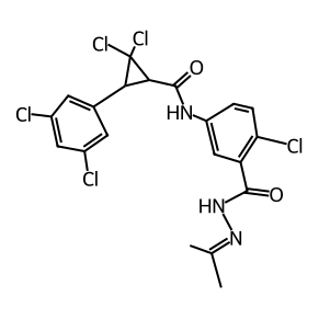 CC(C)=NNC(=O)c1cc(NC(=O)C2C(c3cc(Cl)cc(Cl)c3)C2(Cl)Cl)ccc1Cl